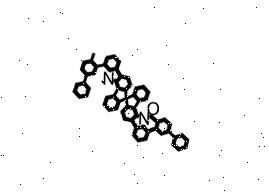 Cc1ccc(-c2ccccc2)cc1-c1cccc2c3ccc4c(c3n(C)c12)-c1ccccc1C41c2ccccc2-c2c1ccc1c3cccc4c5cc(-c6ccccc6)ccc5c(=O)n(c21)c43